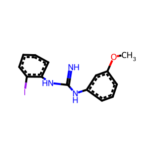 COc1cccc(NC(=N)Nc2ccccc2I)c1